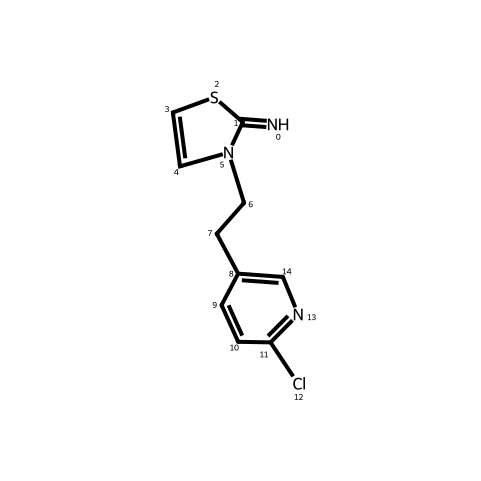 N=c1sccn1CCc1ccc(Cl)nc1